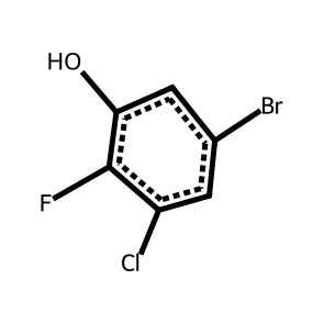 Oc1cc(Br)cc(Cl)c1F